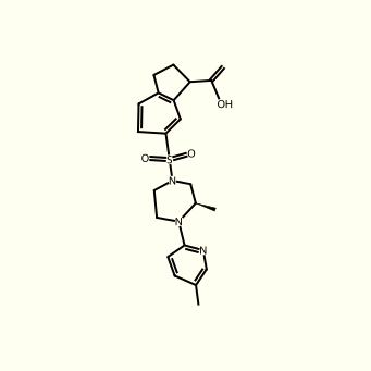 C=C(O)C1CCc2ccc(S(=O)(=O)N3CCN(c4ccc(C)cn4)[C@H](C)C3)cc21